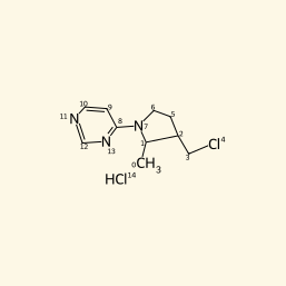 CC1C(CCl)CCN1c1ccncn1.Cl